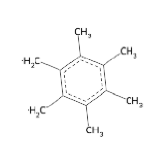 [CH2]c1c([CH2])c(C)c(C)c(C)c1C